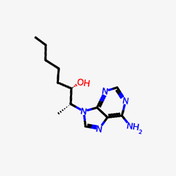 CCCCC[C@H](O)[C@@H](C)n1cnc2c(N)ncnc21